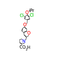 CC(C)Oc1c(Cl)cc(COc2ccc3c(c2)OCC(CN2CCC=C(C(=O)O)C2)=C3)cc1Cl